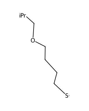 CC(C)COCCCC[S]